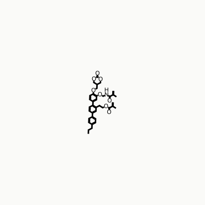 C=C(C)C(=O)NCOc1cc(-c2ccc(-c3ccc(CCC)cc3)cc2CCOC(=O)C(=C)C)ccc1OCC1COC(=O)OC1